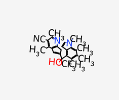 Cc1nc2c(c(C)c1C#N)C=C(C(O)(c1c(C)c(C)c(C)c3c1ccn3C)C(F)(F)F)C2